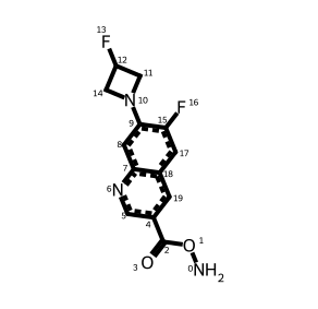 NOC(=O)c1cnc2cc(N3CC(F)C3)c(F)cc2c1